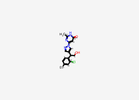 CCc1ccc(C(CO)c2cnn(-c3cc(=O)[nH]c(C)n3)c2)c(Cl)c1